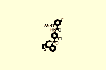 COc1ccc(F)cc1C(=O)Nc1ccc(C(=O)N2CCc3ccsc3-c3ccccc32)c(Cl)c1